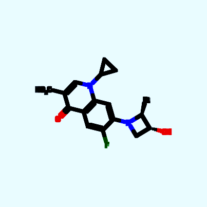 CC[C@H]1[C@H](O)CN1c1cc2c(cc1F)c(=O)c(C(=O)O)cn2C1CC1